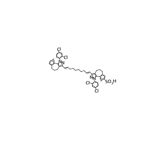 O=S(=O)(O)c1cc2c(s1)-c1c(c(/C=C/CCCCCC/C=C/c3nn(-c4ccc(Cl)cc4Cl)c4c3CCCc3ccsc3-4)nn1-c1ccc(Cl)cc1Cl)CCC2